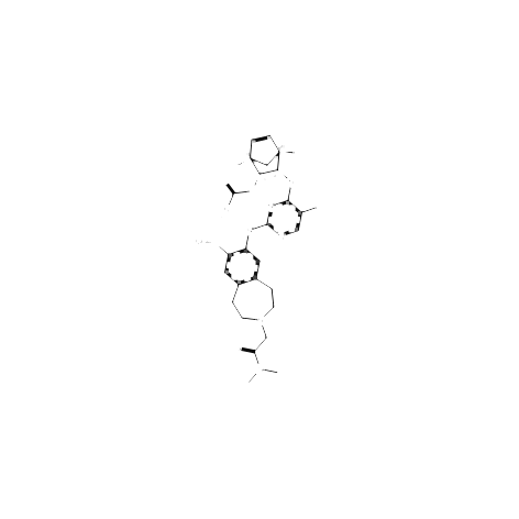 COc1cc2c(cc1Nc1ncc(Cl)c(N[C@H]3[C@@H](OC(N)=O)[C@@H]4C=C[C@H]3C4)n1)CCN(CC(=O)N(C)C)CC2